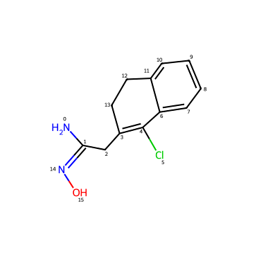 N/C(CC1=C(Cl)c2ccccc2CC1)=N/O